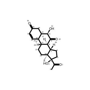 CC(=O)[C@@]1(O)CC[C@H]2[C@@H]3C(=O)[C@H](O)C4CC(=O)C=C[C@]4(C)[C@H]3CC[C@@]21C